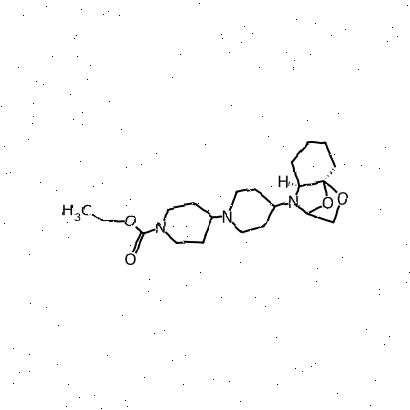 CCOC(=O)N1CCC(N2CCC(N3C4CO[C@@]5(CCCC[C@H]35)O4)CC2)CC1